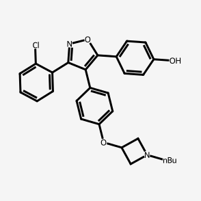 CCCCN1CC(Oc2ccc(-c3c(-c4ccccc4Cl)noc3-c3ccc(O)cc3)cc2)C1